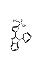 O=P(O)(O)c1ccc(-c2nc3ccccc3n2-c2ccncc2)o1